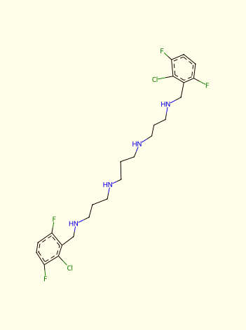 Fc1ccc(F)c(CNCCCNCCCNCCCNCc2c(F)ccc(F)c2Cl)c1Cl